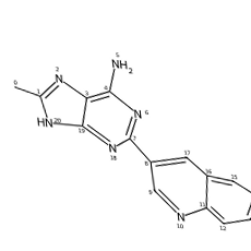 Cc1nc2c(N)nc(-c3cnc4ccccc4c3)nc2[nH]1